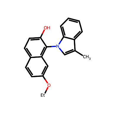 CCOc1ccc2ccc(O)c(-n3cc(C)c4ccccc43)c2c1